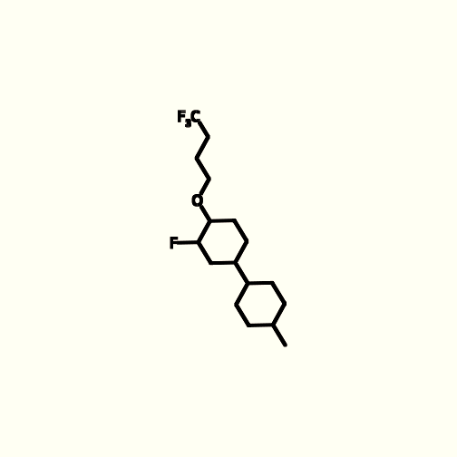 CC1CCC(C2CCC(OCCCC(F)(F)F)C(F)C2)CC1